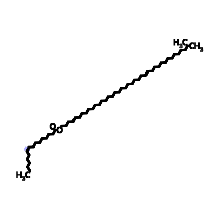 CCCCCC/C=C\CCCCCCCC(=O)OCCCCCCCCCCCCCCCCCCCCCCCCCCCCCCCCCCCCCCC(C)C